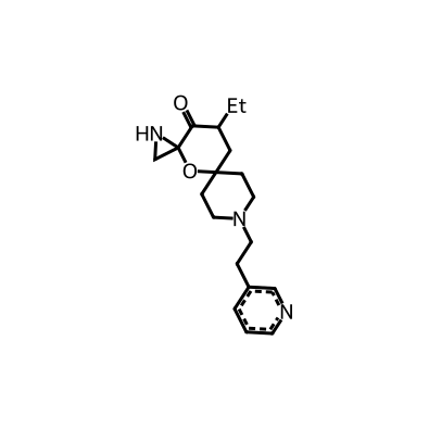 CCC1CC2(CCN(CCc3cccnc3)CC2)OC2(CN2)C1=O